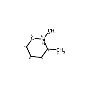 CC1CCCO[SiH]1C